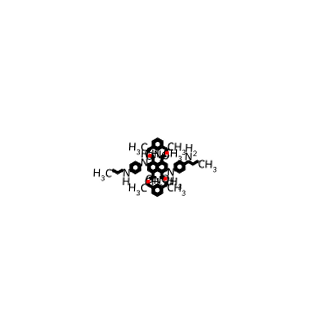 CCCCNc1ccc(Nc2cc3c4c(c(Nc5ccc(C(N)CCC)cc5)cc5c4c2C(=O)N(c2c(C(C)C)cccc2C(C)C)C5=O)C(=O)N(c2c(C(C)C)cccc2C(C)C)C3=O)cc1